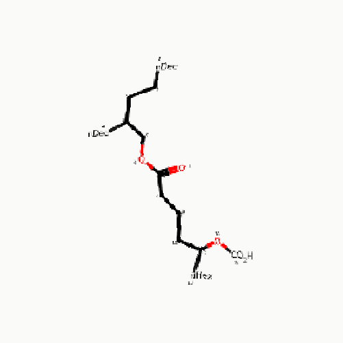 CCCCCCCCCCCCC(CCCCCCCCCC)COC(=O)CCCC(CCCCCC)OC(=O)O